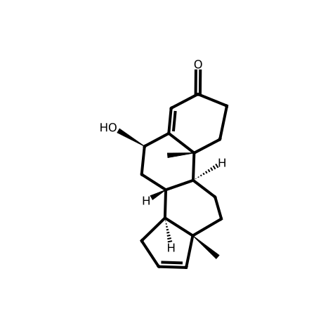 C[C@@]12C=CC[C@H]1[C@@H]1C[C@@H](O)C3=CC(=O)CC[C@]3(C)[C@H]1CC2